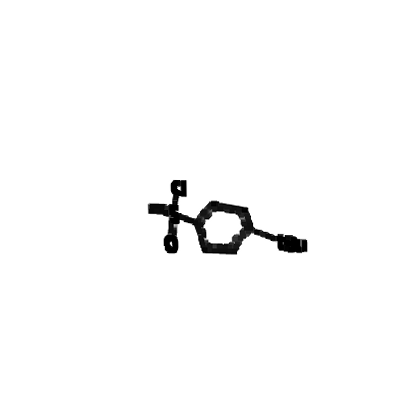 C=S(=O)(Cl)c1ccc(C(C)(C)C)cc1